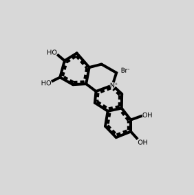 Oc1cc2c(cc1O)-c1cc3ccc(O)c(O)c3c[n+]1CC2.[Br-]